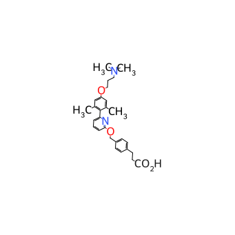 Cc1cc(OCCCN(C)C)cc(C)c1-c1cccc(OCc2ccc(CCC(=O)O)cc2)n1